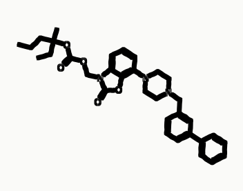 CCCC(C)(CC)OC(=O)OCn1c(=O)oc2c(N3CCN(Cc4cccc(-c5ccccc5)c4)CC3)cccc21